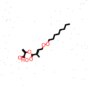 C=C(OC(=O)C(C)=CCOOCCCCCCCC)C(=O)O